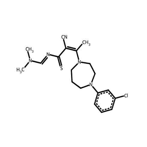 C/C(=C(\C#N)C(=S)/N=C/N(C)C)N1CCCN(c2cccc(Cl)c2)CC1